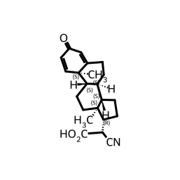 C[C@]12CC[C@H]3[C@@H](CCC4=CC(=O)C=C[C@@]43C)[C@@H]1CC[C@@H]2C(C#N)C(=O)O